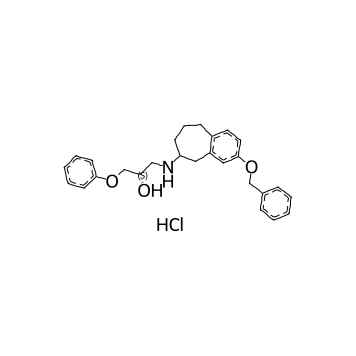 Cl.O[C@@H](CNC1CCCc2ccc(OCc3ccccc3)cc2C1)COc1ccccc1